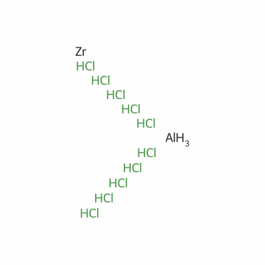 Cl.Cl.Cl.Cl.Cl.Cl.Cl.Cl.Cl.Cl.[AlH3].[Zr]